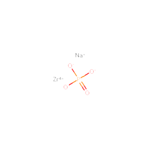 O=P([O-])([O-])[O-].[Na+].[Zr+4]